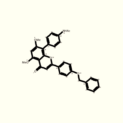 COc1cc(OC)c2c(=O)cc(-c3ccc(OCc4ccccc4)cc3)oc2c1-c1ccc(NC(C)=O)cc1